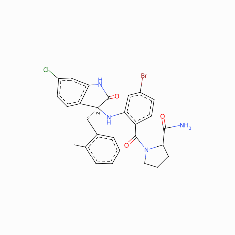 Cc1ccccc1C[C@@]1(Nc2cc(Br)ccc2C(=O)N2CCCC2C(N)=O)C(=O)Nc2cc(Cl)ccc21